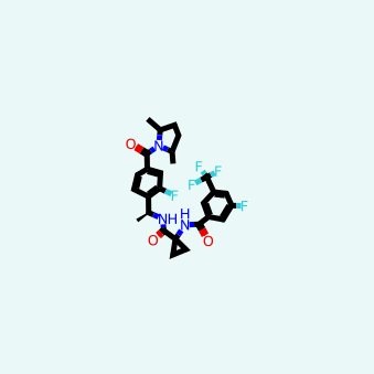 CC1CCC(C)N1C(=O)c1ccc([C@H](C)NC(=O)C2(NC(=O)c3cc(F)cc(C(F)(F)F)c3)CC2)c(F)c1